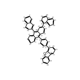 c1ccc2cc(-c3c4ccccc4c(-c4ccc(-c5cccc6c5oc5ccccc56)cc4)c4ccc(-c5cccc6ccccc56)cc34)ccc2c1